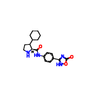 O=C(Nc1ccc(-c2nc(=O)o[nH]2)cc1)[C@H]1NCCC1C1CCCCC1